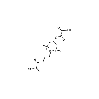 C=C(C#N)C(=O)OCCN1C(C)(C)CC(OC(=O)C(=C)C#N)CC1(C)C